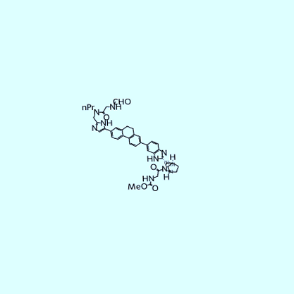 CCCN(Cc1ncc(-c2ccc3c(c2)CCc2cc(-c4ccc5nc([C@@H]6[C@H]7CC[C@H](C7)N6C(=O)CNC(=O)OC)[nH]c5c4)ccc2-3)[nH]1)C(=O)CNC=O